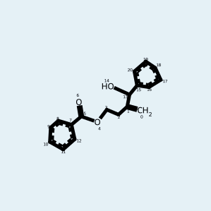 C=C(CCOC(=O)c1ccccc1)C(O)c1ccccc1